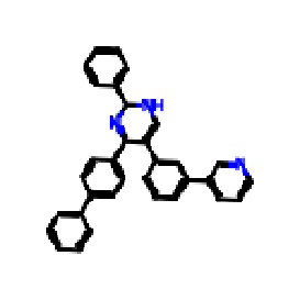 C1=C(c2cccc(-c3cccnc3)c2)C(c2ccc(-c3ccccc3)cc2)=NC(c2ccccc2)N1